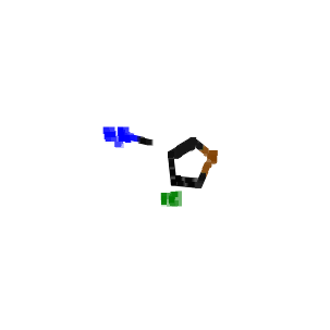 CN.Cl.c1ccsc1